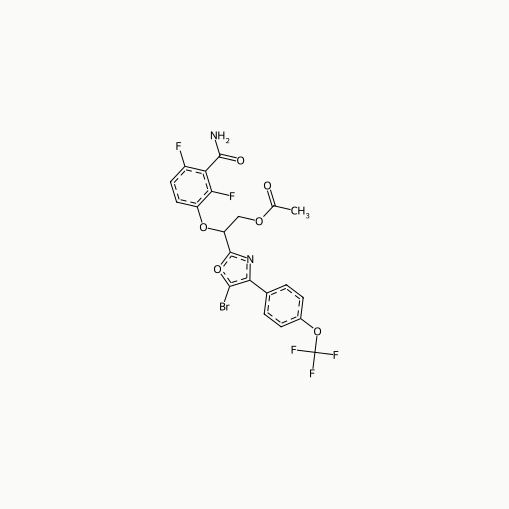 CC(=O)OCC(Oc1ccc(F)c(C(N)=O)c1F)c1nc(-c2ccc(OC(F)(F)F)cc2)c(Br)o1